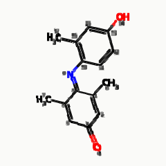 CC1=CC(=O)C=C(C)C1=Nc1ccc(O)cc1C